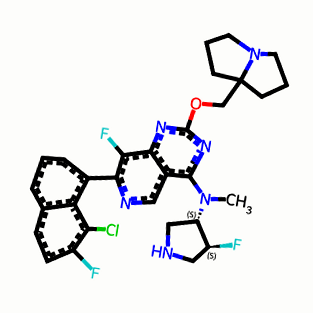 CN(c1nc(OCC23CCCN2CCC3)nc2c(F)c(-c3cccc4ccc(F)c(Cl)c34)ncc12)[C@H]1CNC[C@@H]1F